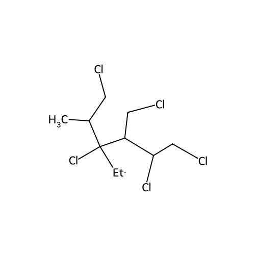 C[CH]C(Cl)(C(C)CCl)C(CCl)C(Cl)CCl